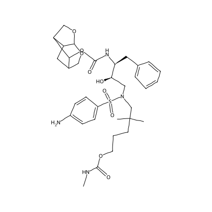 CNC(=O)OCCCC(C)(C)CN(C[C@@H](O)[C@H](Cc1ccccc1)NC(=O)OC1C2COC3OCC1C3C2)S(=O)(=O)c1ccc(N)cc1